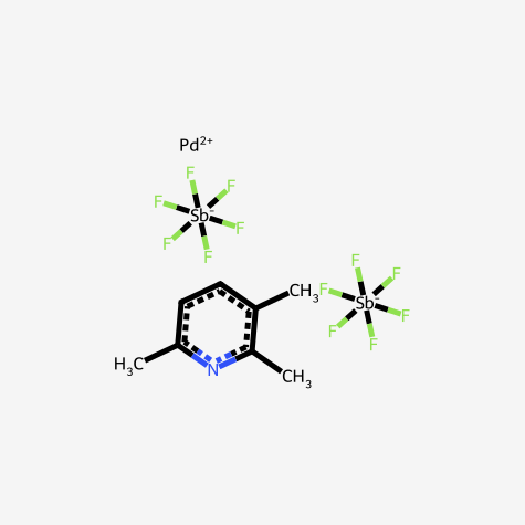 Cc1ccc(C)c(C)n1.[F][Sb-]([F])([F])([F])([F])[F].[F][Sb-]([F])([F])([F])([F])[F].[Pd+2]